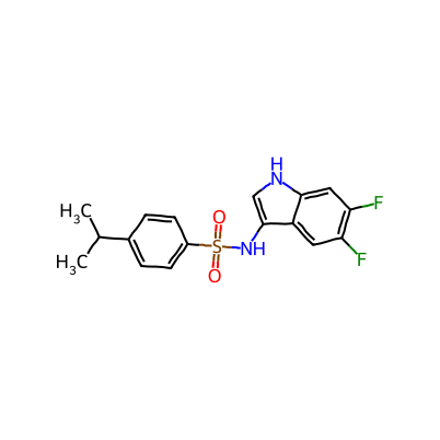 CC(C)c1ccc(S(=O)(=O)Nc2c[nH]c3cc(F)c(F)cc23)cc1